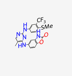 CSc1ccc(Nc2ncc(C)c(Nc3ccc4oc(=O)[nH]c4c3)n2)cc1C(F)(F)F